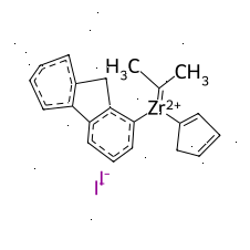 C[C](C)=[Zr+2]([C]1=CC=CC1)[c]1cccc2c1Cc1ccccc1-2.[I-].[I-]